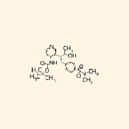 CC(O)C(Cc1ccc(S(=O)(=O)N(C)C)cc1)c1cnccc1NC(=O)OC(C)(C)C